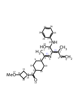 C=N/C(C)=C(\N=C(/C)C1CCC(C(=O)N2CC(OC)C2)CC1)C(O)Nc1ccccc1